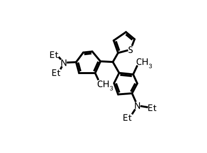 CCN(CC)c1ccc(C(c2cccs2)c2ccc(N(CC)CC)cc2C)c(C)c1